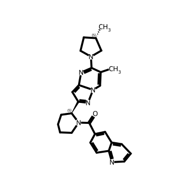 Cc1cn2nc([C@@H]3CCCCN3C(=O)c3ccc4ncccc4c3)cc2nc1N1CC[C@H](C)C1